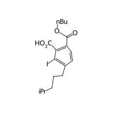 CCCCOC(=O)c1ccc(CCCC(C)C)c(I)c1C(=O)O